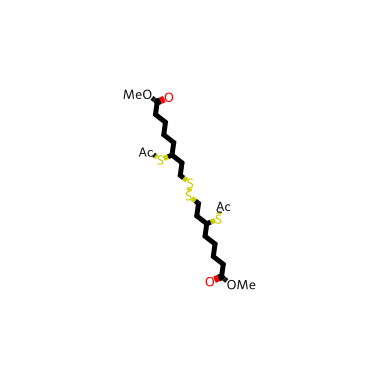 COC(=O)CCCCC(CCSSCCC(CCCCC(=O)OC)SC(C)=O)SC(C)=O